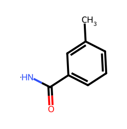 Cc1cccc(C([NH])=O)c1